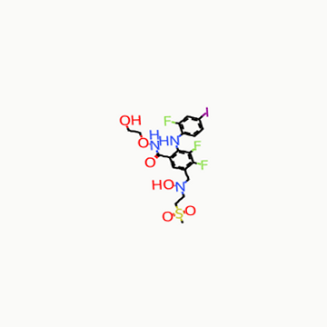 CS(=O)(=O)CCN(O)Cc1cc(C(=O)NOCCO)c(Nc2ccc(I)cc2F)c(F)c1F